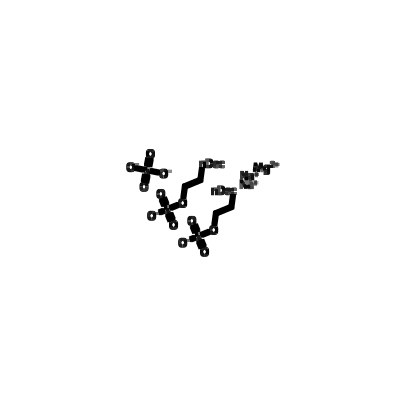 CCCCCCCCCCCCOS(=O)(=O)[O-].CCCCCCCCCCCCOS(=O)(=O)[O-].O=S(=O)([O-])[O-].[Mg+2].[Na+].[Na+]